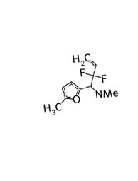 C=CC(F)(F)C(NC)c1ccc(C)o1